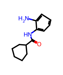 Nc1ccccc1NC(=O)C1CCCCC1